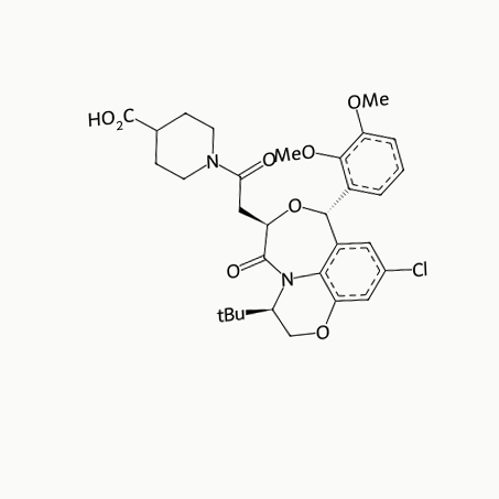 COc1cccc([C@H]2O[C@H](CC(=O)N3CCC(C(=O)O)CC3)C(=O)N3c4c(cc(Cl)cc42)OC[C@H]3C(C)(C)C)c1OC